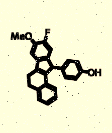 COc1cc2c(cc1F)C(c1ccc(O)cc1)C1=C2CCc2ccccc21